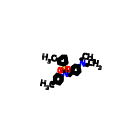 CCN(CC)c1ccc(CN(c2ccc(C)cc2)S(=O)(=O)c2cccc(C)c2)cc1